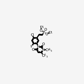 CCOP(=O)(C=Cc1cc(-n2c(=O)cc(C(F)(F)F)n(C)c2=O)c(F)cc1Cl)OCC